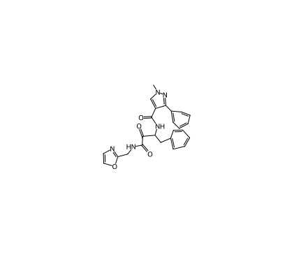 Cn1cc(C(=O)NC(Cc2ccccc2)C(=O)C(=O)NCc2ncco2)c(-c2ccccc2)n1